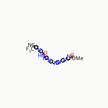 COC(=O)c1ccc(N2CCC(N3CCN(CC4CCN(c5ccc(NC(=O)C6CCN(c7ccc(C#N)c(C(F)(F)F)c7)CC6)nc5)CC4)CC3)CC2)cn1